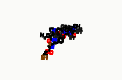 CC[C@H](C)[C@@H]([C@@H](CC(=O)N1CCC[C@H]1[C@H](OC)[C@@H](C)C(=O)N[C@@H](Cc1ccccc1)c1nc(C(=O)OCCS)cs1)OC)N(C)C(=O)[C@@H](NC(=O)[C@H](C(C)C)N(C)C)C(C)C